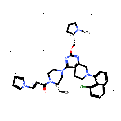 CN1CCC[C@H]1COc1nc2c(c(N3CCN(C(=O)/C=C/n4cccc4)[C@@H](CC#N)C3)n1)CCN(c1cccc3cccc(Cl)c13)C2